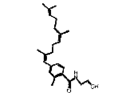 CC(C)=CCCC(C)=CCCC(C)=Cc1ccc(C(=O)NCCO)c(C)c1